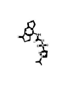 CC(C)n1ccc(S(=O)(=O)NC(=O)Nc2c3c(cc4c2CCC4=O)CCC3)n1